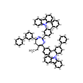 CCC1=C(c2cccc(-c3cc(-c4ccccc4)ccc3-n3c4ccccc4c4ccccc43)c2)N=C(c2ccc(-c3ccccc3)c(-n3c4ccccc4c4ccccc43)c2)N=C(c2cccc(-c3ccccc3)c2)C1